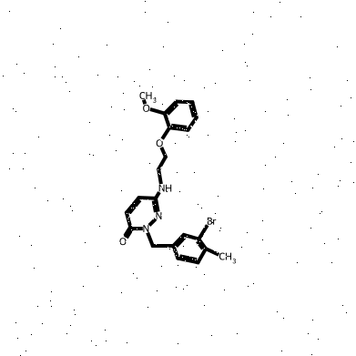 COc1ccccc1OCCNc1ccc(=O)n(Cc2ccc(C)c(Br)c2)n1